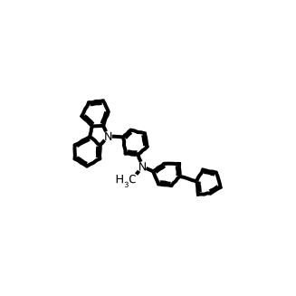 CN(c1ccc(-c2ccccc2)cc1)c1cccc(-n2c3ccccc3c3ccccc32)c1